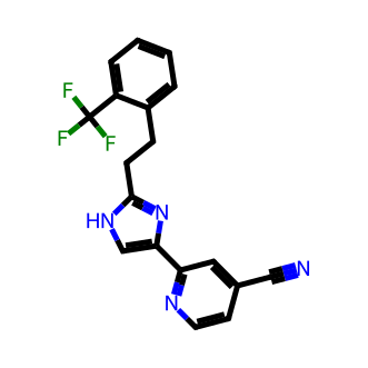 N#Cc1ccnc(-c2c[nH]c(CCc3ccccc3C(F)(F)F)n2)c1